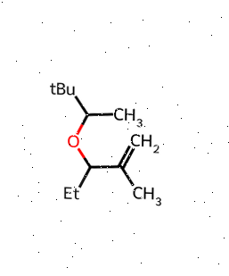 C=C(C)C(CC)OC(C)C(C)(C)C